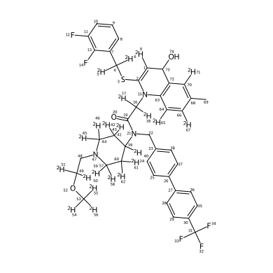 [2H]C1=C(SC([2H])([2H])c2cccc(F)c2F)N(C([2H])([2H])C(=O)N(Cc2ccc(-c3ccc(C(F)(F)F)cc3)cc2)C2([2H])C([2H])([2H])C([2H])([2H])N(CC([2H])([2H])OC([2H])([2H])[2H])C([2H])([2H])C2([2H])[2H])c2c([2H])c([2H])c(C)c([2H])c2C1O